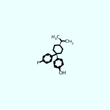 CC(C)[C@H]1CC[C@](c2ccc(O)cc2)(c2ccc(F)cc2)CC1